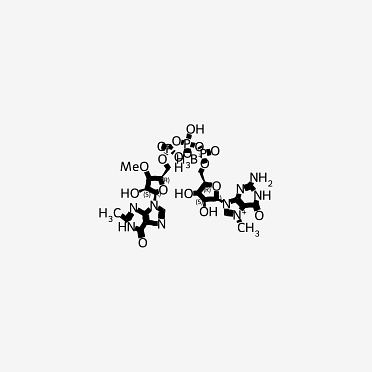 [BH3-]P(=O)(OC[C@H]1O[C@@H](n2c[n+](C)c3c(=O)[nH]c(N)nc32)[C@@H](O)C1O)OP(=O)(O)OP(=O)(O)OC[C@H]1O[C@@H](n2cnc3c(=O)[nH]c(C)nc32)[C@@H](O)C1OC